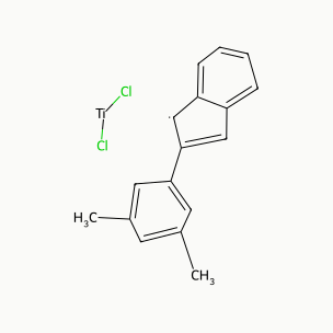 Cc1cc(C)cc(C2=Cc3ccccc3[CH]2)c1.[Cl][Ti][Cl]